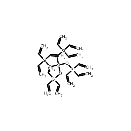 C=C[Si](C=C)(C=C)O[Si](O[Si](C=C)(C=C)C=C)(O[Si](C=C)(C=C)C=C)O[Si](C=C)(C=C)C=C